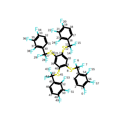 Fc1ccc(C(F)(F)Sc2cc(SC(F)(F)c3ccc(F)c(F)c3F)c(SC(F)(F)c3ccc(F)c(F)c3F)cc2SC(F)(F)c2ccc(F)c(F)c2F)c(F)c1F